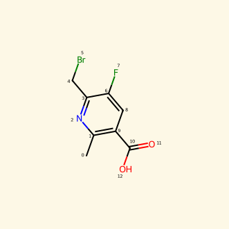 Cc1nc(CBr)c(F)cc1C(=O)O